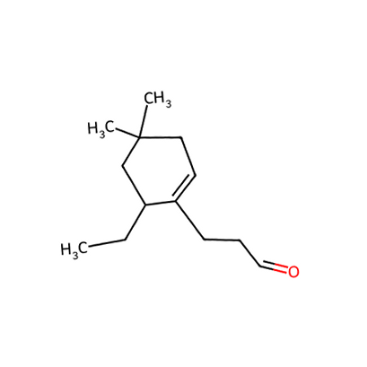 CCC1CC(C)(C)CC=C1CCC=O